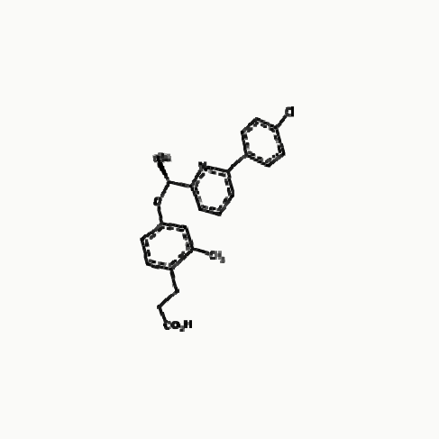 CCCC[C@H](Oc1ccc(CCC(=O)O)c(C)c1)c1cccc(-c2ccc(Cl)cc2)n1